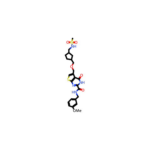 COc1cccc(CNC(=O)c2nc3scc(COCC4CCC(CNS(C)(=O)=O)C4)c3c(=O)[nH]2)c1